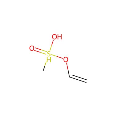 C=CO[SH](C)(=O)O